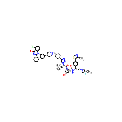 Cc1ncsc1-c1ccc([C@H](CCN2CC(C)(F)C2)NC(=O)[C@@H]2C[C@@H](O)CN2C(=O)[C@@H](n2cc(C3CCC(CN4CCC(c5ccc6c(c5)-n5c(nc(=O)c7c(Cl)cccc75)C65CCCCC5)CC4)CC3)nn2)C(C)(C)C)cc1